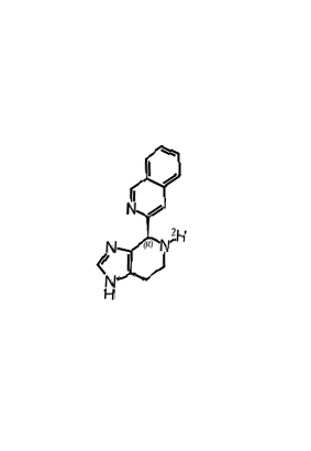 [2H]N1CCc2[nH]cnc2[C@H]1c1cc2ccccc2cn1